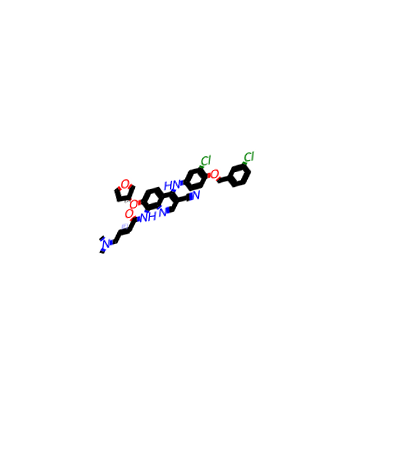 CN(C)C/C=C/C(=O)Nc1c(O[C@H]2CCOC2)ccc2c(Nc3ccc(OCc4cccc(Cl)c4)c(Cl)c3)c(C#N)cnc12